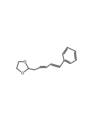 C(C=Cc1ccccc1)=CC[C]1OCCO1